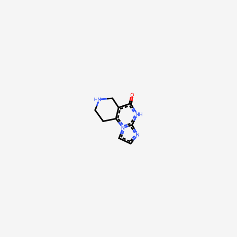 O=c1[nH]c2nccn2c2c1CNCC2